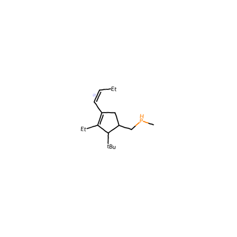 CC/C=C\C1=C(CC)C(C(C)(C)C)C(CPC)C1